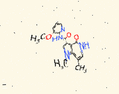 COc1cccnc1NC(=O)c1cn(C)c2c(C)c[nH]c(=O)c12